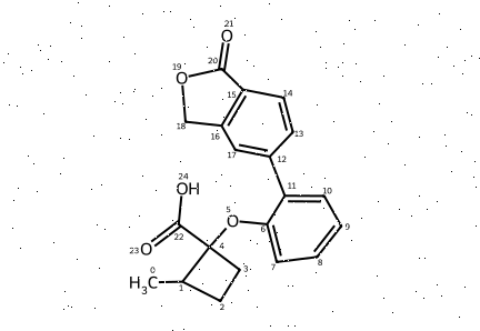 CC1CCC1(Oc1ccccc1-c1ccc2c(c1)COC2=O)C(=O)O